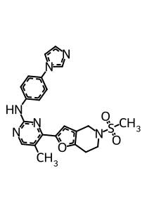 Cc1cnc(Nc2ccc(-n3ccnc3)cc2)nc1-c1cc2c(o1)CCN(S(C)(=O)=O)C2